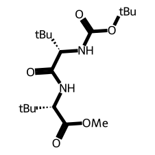 COC(=O)[C@@H](NC(=O)[C@@H](NC(=O)OC(C)(C)C)C(C)(C)C)C(C)(C)C